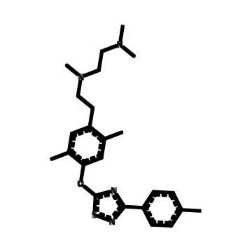 Cc1ccc(-c2nsc(Oc3cc(C)c(CCN(C)CCN(C)C)cc3C)n2)cc1